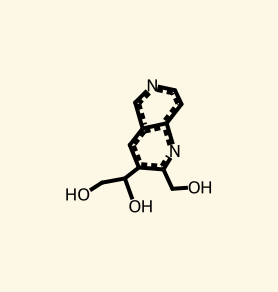 OCc1nc2ccncc2cc1C(O)CO